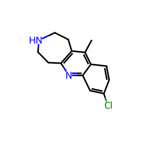 Cc1c2c(nc3cc(Cl)ccc13)CCNCC2